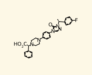 C[C@@H](c1ccc(F)cc1)n1ncn(-c2ccc(N3CCN([C@H](C(=O)O)c4ccccc4)CC3)cc2)c1=O